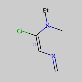 C=N/C=C(/Cl)N(C)CC